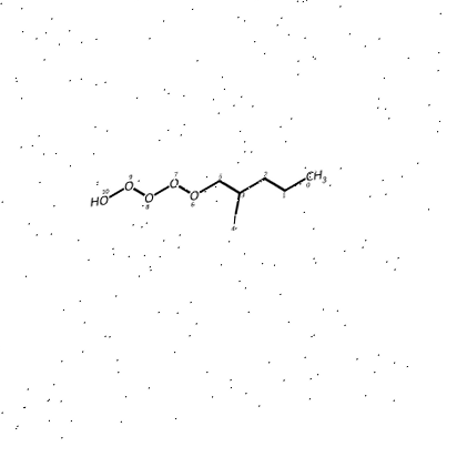 CCCC(I)COOOOO